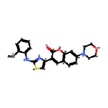 COc1ccccc1Nc1nc(-c2cc3ccc(N4CCOCC4)cc3oc2=O)cs1